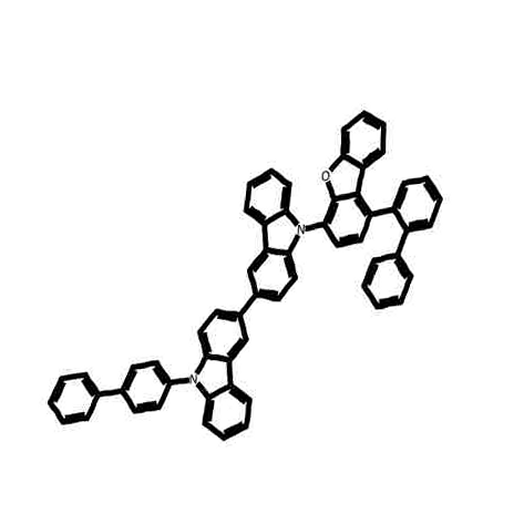 c1ccc(-c2ccc(-n3c4ccccc4c4cc(-c5ccc6c(c5)c5ccccc5n6-c5ccc(-c6ccccc6-c6ccccc6)c6c5oc5ccccc56)ccc43)cc2)cc1